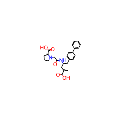 C[C@H](CC(Cc1ccc(-c2ccccc2)cc1)NC(=O)CN1CCC[C@H]1C(=O)O)C(=O)O